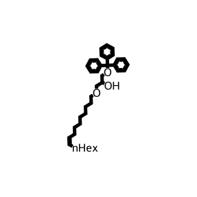 CCCCCC/C=C\CCCCCCCCOCC(O)COC(c1ccccc1)(c1ccccc1)c1ccccc1